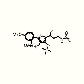 COc1ccc(-c2oc(C(Br)CCN[SH](=O)=O)c(O[Si](C)(C)C)c2O)c(OC)c1